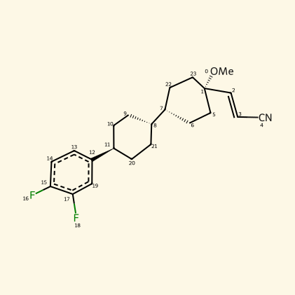 CO[C@]1(C=CC#N)CC[C@H]([C@H]2CC[C@H](c3ccc(F)c(F)c3)CC2)CC1